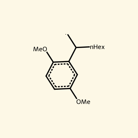 [CH2]C(CCCCCC)c1cc(OC)ccc1OC